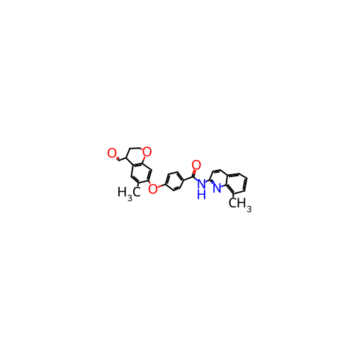 Cc1cc2c(cc1Oc1ccc(C(=O)Nc3ccc4cccc(C)c4n3)cc1)OCCC2C=O